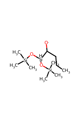 CCCC([O])[SiH](O[Si](C)(C)C)O[Si](C)(C)C